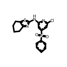 O=S(=O)(c1ccccc1)c1cc(Cl)nc(Nc2nc3c(s2)CCCC3)c1